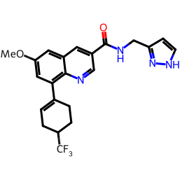 COc1cc(C2=CCC(C(F)(F)F)CC2)c2ncc(C(=O)NCc3cc[nH]n3)cc2c1